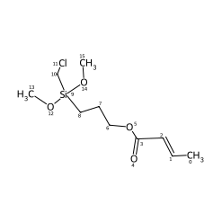 CC=CC(=O)OCCC[Si](CCl)(OC)OC